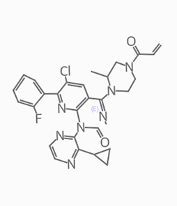 C=CC(=O)N1CCN(/C(=N/C)c2cc(Cl)c(-c3ccccc3F)nc2N(C=O)c2nccnc2C2CC2)C(C)C1